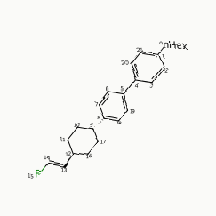 CCCCCCc1ccc(-c2ccc([C@H]3CC[C@H](C=CF)CC3)cc2)cc1